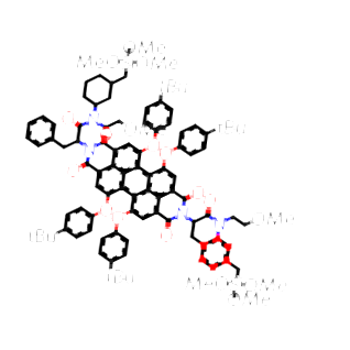 COCCN(C(=O)C(Cc1ccccc1)N1C(=O)c2cc(Oc3ccc(C(C)(C)C)cc3)c3c4c(Oc5ccc(C(C)(C)C)cc5)cc5c6c(cc(Oc7ccc(C(C)(C)C)cc7)c(c7c(Oc8ccc(C(C)(C)C)cc8)cc(c2c37)C1=O)c64)C(=O)N(C(Cc1ccccc1)C(=O)N(CCOC)C1CCCC(C[Si](OC)(OC)OC)C1)C5=O)C1CCCC(C[Si](OC)(OC)OC)C1